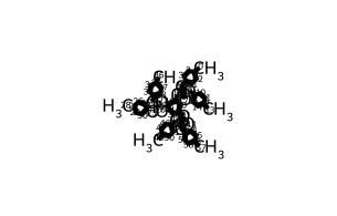 Cc1ccc(OP(=O)(Oc2ccc(C)cc2)Oc2cc(OP(=O)(Oc3ccc(C)cc3)Oc3ccc(C)cc3)cc(OP(=O)(Oc3ccc(C)cc3)Oc3ccc(C)cc3)c2)cc1